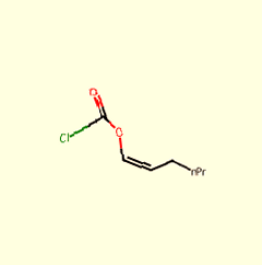 CCCC/C=C\OC(=O)Cl